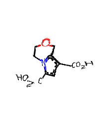 O=C(O)c1cc(C(=O)O)n2c1COCC2